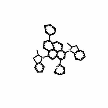 CC1Cc2ccccc2N1c1cc2c(-c3ccccc3)cc(N3c4ccccc4CC3C)c3ccc4c(-c5ccccc5)ccc1c4c23